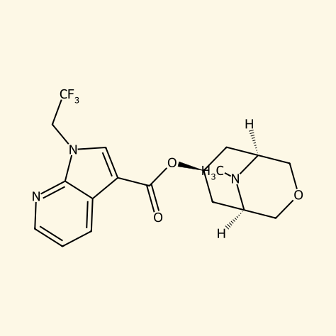 CN1[C@@H]2COC[C@H]1C[C@@H](OC(=O)c1cn(CC(F)(F)F)c3ncccc13)C2